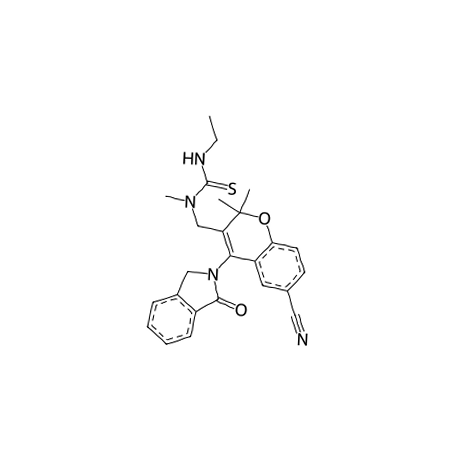 CCNC(=S)N(C)CC1=C(N2Cc3ccccc3C2=O)c2cc(C#N)ccc2OC1(C)C